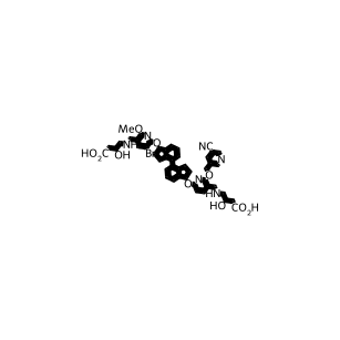 COc1nc(O[C@H]2CCc3c(-c4cccc5c4CC[C@@H]5Oc4ccc(CNC[C@@H](O)CC(=O)O)c(OCc5cncc(C#N)c5)n4)cccc32)c(Br)cc1CNC[C@@H](O)CC(=O)O